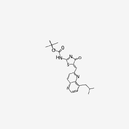 CC(C)Cc1ccnc2ccc(/C=C3\SC(NC(=O)OC(C)(C)C)=NC3=O)nc12